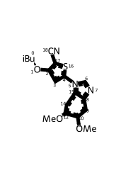 CC[C@@H](C)Oc1cc(-n2cnc3cc(OC)c(OC)cc32)sc1C#N